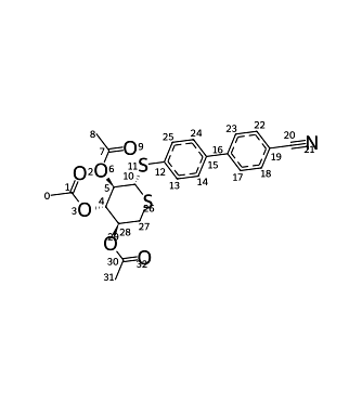 CC(=O)O[C@@H]1[C@@H](OC(C)=O)[C@H](Sc2ccc(-c3ccc(C#N)cc3)cc2)SC[C@H]1OC(C)=O